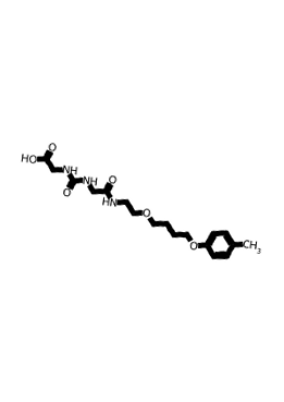 Cc1ccc(OCCCCOCCNC(=O)CNC(=O)NCC(=O)O)cc1